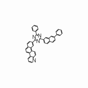 c1ccc(-c2ccc3ccc(-c4nc(-c5ccccc5)nc(-c5ccc6ccc7c8cccnc8ccc7c6c5)n4)cc3c2)cc1